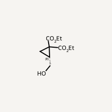 CCOC(=O)C1(C(=O)OCC)C[C@H]1CO